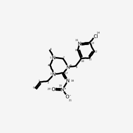 C=CCN1CN(C)CN(Cc2ccc(Cl)nc2)C1=N[N+](=O)[O-]